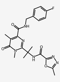 Cc1nnc(C(=O)NC(C)(C)c2nc(C(=O)NCc3ccc(F)cc3)c(C)c(=O)n2C)o1